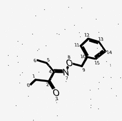 CCC(=O)/C(CC)=N/OCc1ccccc1